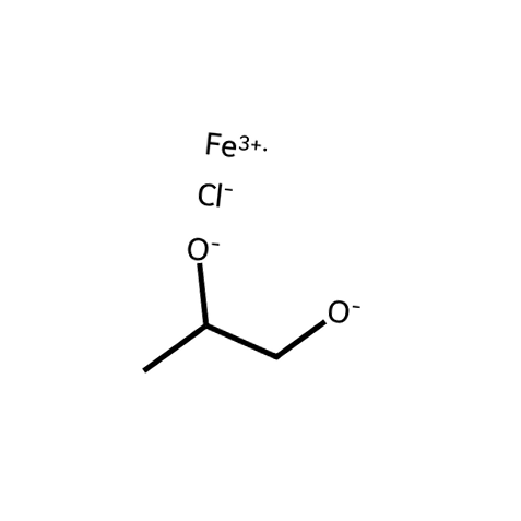 CC([O-])C[O-].[Cl-].[Fe+3]